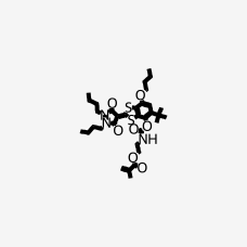 C=C(C)C(=O)OCCNC(=O)Oc1c(C(C)(C)C)cc(OCCCC)c2c1SC(=C1C(=O)N(CCCC)N(CCCC)C1=O)S2